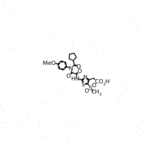 COc1ccc(N(C(=O)C(=O)Nc2nc(CC(=O)O)c(S(C)(=O)=O)s2)C(=O)C2CCCC2)cc1